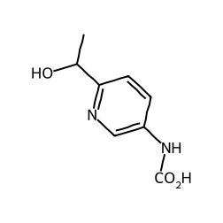 CC(O)c1ccc(NC(=O)O)cn1